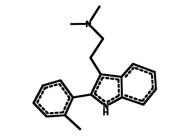 Cc1ccccc1-c1[nH]c2ccccc2c1CCN(C)C